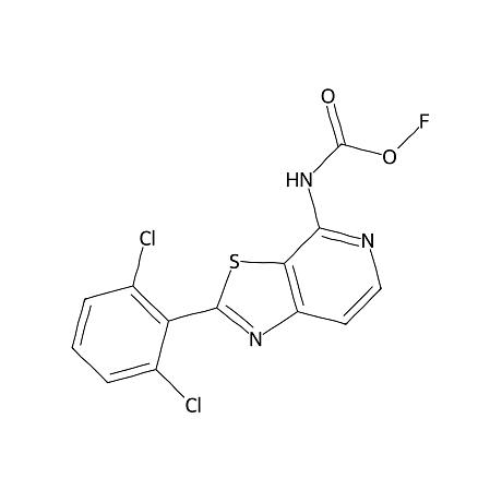 O=C(Nc1nccc2nc(-c3c(Cl)cccc3Cl)sc12)OF